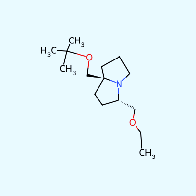 CCOC[C@@H]1CC[C@]2(COC(C)(C)C)CCCN12